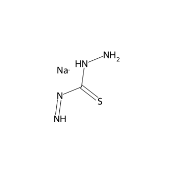 N=NC(=S)NN.[Na]